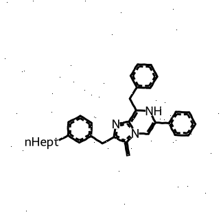 C=c1c(Cc2cccc(CCCCCCC)c2)nc2n1C=C(c1ccccc1)NC=2Cc1ccccc1